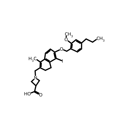 CCCc1ccc(COc2ccc3c(c2I)CCC(CN2CC(C(=O)O)C2)=C3C)c(OC)c1